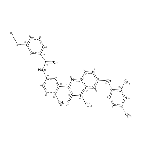 Cc1ccc(Nc2ncc3nc(-c4cc(NC(=O)c5cccc(CF)c5)ccc4C)c(=O)n(C)c3n2)c(C)n1